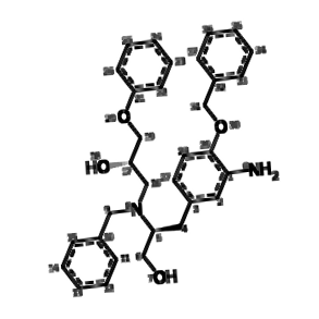 Nc1cc(C[C@@H](CO)N(Cc2ccccc2)C[C@H](O)COc2ccccc2)ccc1OCc1ccccc1